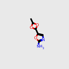 CC1OC(c2cnc(N)o2)O1